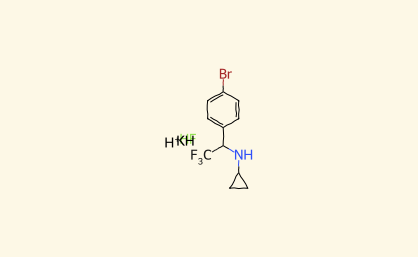 F.FC(F)(F)C(NC1CC1)c1ccc(Br)cc1.[H+].[KH]